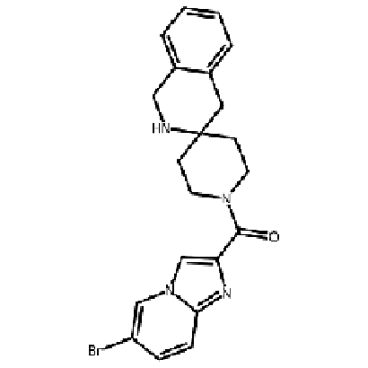 O=C(c1cn2cc(Br)ccc2n1)N1CCC2(CC1)Cc1ccccc1CN2